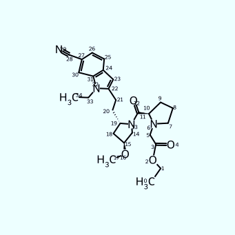 CCOC(=O)CN1CCC[C@@H]1C(=O)N1C[C@@H](OC)C[C@@H]1CCc1cc2ccc(C#N)cc2n1CC